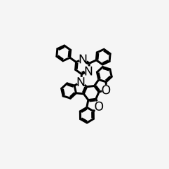 c1ccc(-c2cc(-n3c4ccccc4c4c5c6ccccc6oc5c5oc6ccccc6c5c43)nc(-c3ccccc3)n2)cc1